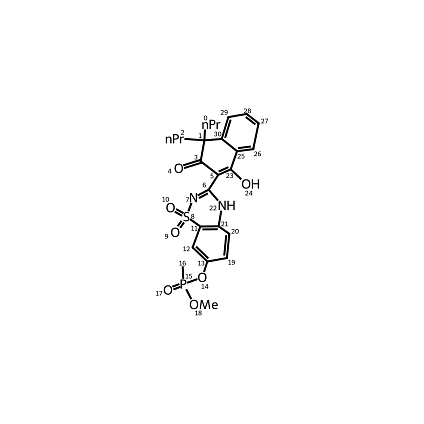 CCCC1(CCC)C(=O)C(C2=NS(=O)(=O)c3cc(OP(C)(=O)OC)ccc3N2)=C(O)c2ccccc21